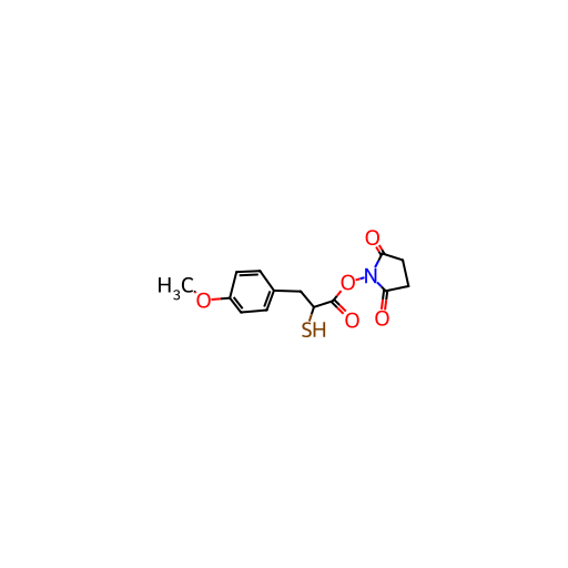 COc1ccc(CC(S)C(=O)ON2C(=O)CCC2=O)cc1